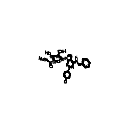 CNC(=O)[C@H]1O[C@@H](n2cnc3c(NCc4ccccc4)nc(-c4ccc(Cl)cc4)nc32)[C@H](O)[C@@H]1O